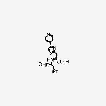 CC(C)C[C@@H](C=O)N[C@@H](Cc1nc(-c2ccncc2)cs1)C(=O)O